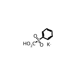 O=C(O)S(=O)(=O)c1ccccc1.[K]